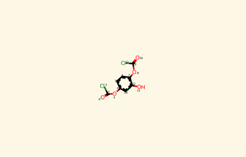 O=C(Cl)Oc1ccc(OC(=O)Cl)c(O)c1